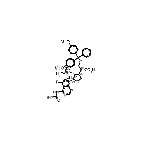 COc1ccc(C(OC[C@H](C(=O)O)[C@H]2CO[C@@H](n3cc(F)c4c(NC(=O)C(C)C)ncnc43)[C@@H]2O[Si](C)(C)C(C)(C)C)(c2ccccc2)c2ccc(OC)cc2)cc1